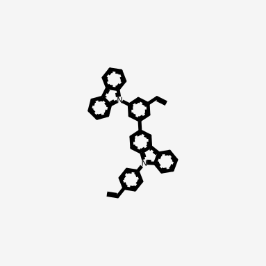 C=Cc1ccc(-n2c3ccccc3c3cc(-c4cc(C=C)cc(-n5c6ccccc6c6ccccc65)c4)ccc32)cc1